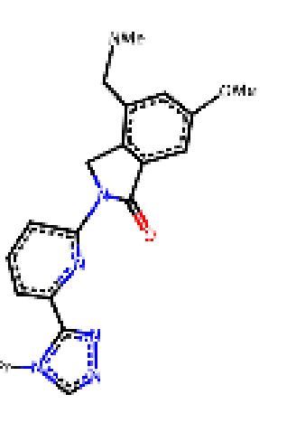 CNCc1cc(OC)cc2c1CN(c1cccc(-c3nncn3C(C)C)n1)C2=O